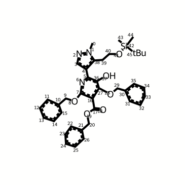 Cn1ncc(-c2nc(OCc3ccccc3)c(C(=O)OCc3ccccc3)c(OCc3ccccc3)c2O)c1CCO[Si](C)(C)C(C)(C)C